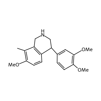 COc1ccc(C2CNCc3c2ccc(OC)c3C)cc1OC